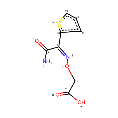 NC(=O)C(=NOCC(=O)O)c1cccs1